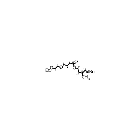 CCOCCOCCCC(=O)OCCC(C)CC(C)(C)C